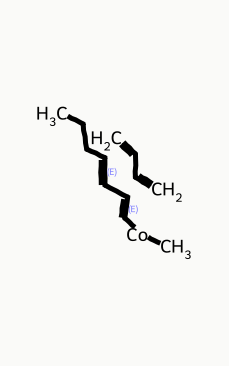 C=CC=C.CCC/C=C/C=[CH]/[Co][CH3]